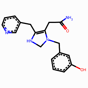 NC(=O)CC1=C(Cc2cccnc2)NCN1Cc1cccc(O)c1